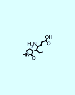 CCC([C@@H]1CCNC1=O)[C@@H](N)/C=C/C(=O)O